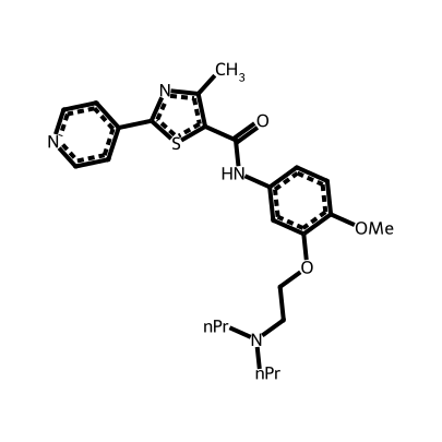 CCCN(CCC)CCOc1cc(NC(=O)c2sc(-c3ccncc3)nc2C)ccc1OC